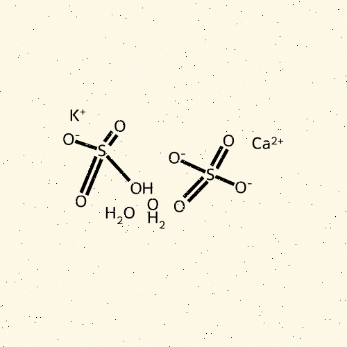 O.O.O=S(=O)([O-])O.O=S(=O)([O-])[O-].[Ca+2].[K+]